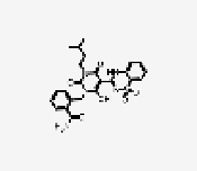 CC(C)CCn1c(=O)c(C2=NS(=O)(=O)c3ccccc3N2)c(O)n(Cc2ccccc2C(N)=O)c1=O